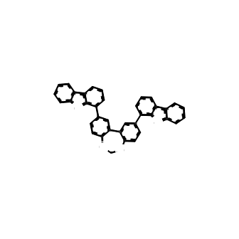 c1ccc2c(c1)oc1c(-c3ccc4c(c3)-c3cc(-c5cccc6c5oc5ccccc56)ccc3OCO4)cccc12